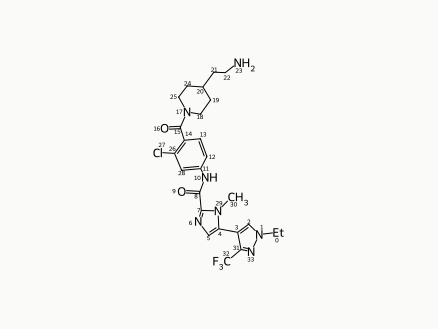 CCn1cc(-c2cnc(C(=O)Nc3ccc(C(=O)N4CCC(CCN)CC4)c(Cl)c3)n2C)c(C(F)(F)F)n1